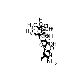 CCC(C)(C[C@H]1O[C@@H](n2cc(I)c(N)nc2=O)[C@H](O)[C@@H]1O)OP(=O)(O)[C@@](C)(O)CC